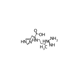 CC(CCN[C@@H](Cc1c[nH]cn1)C(=O)O)NC(=N)N